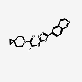 C[C@@H](Nc1nnc(-c2ccc3cnccc3c2)o1)C(=O)N1CCC2(CC1)CC2